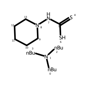 CCCCN(CCCC)CCCC.S=C(S)NN1CCCCC1